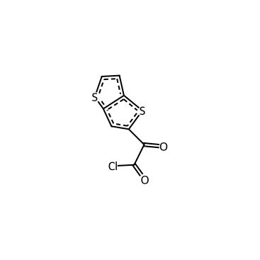 O=C(Cl)C(=O)c1cc2sccc2s1